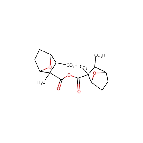 CC1(C(=O)OC(=O)C2(C)C3CCC(O3)C2C(=O)O)C2CCC(O2)C1C(=O)O